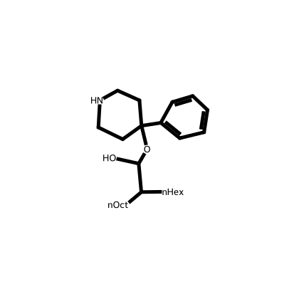 CCCCCCCCC(CCCCCC)C(O)OC1(c2ccccc2)CCNCC1